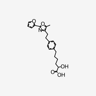 Cc1oc(-c2ccco2)nc1CCc1ccc(CCCCC(O)C(=O)O)cc1